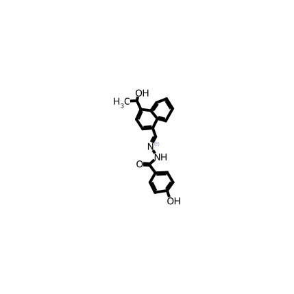 CC(O)c1ccc(/C=N/NC(=O)c2ccc(O)cc2)c2ccccc12